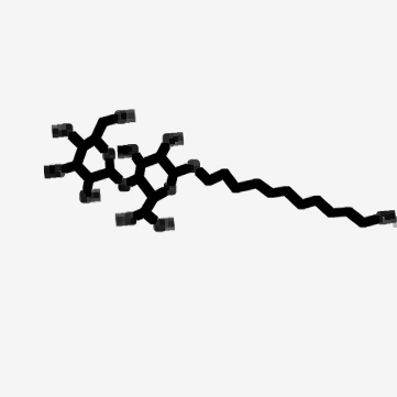 CCCCCCCCCCCCOC1OC(C(O)O)C(OC2OC(CO)C(O)C(O)C2O)C(O)C1O